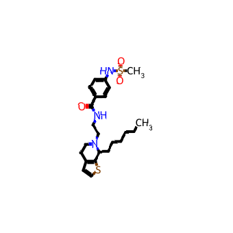 CCCCCCC1c2sccc2CCN1CCNC(=O)c1ccc(NS(C)(=O)=O)cc1